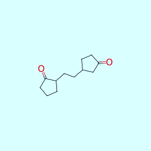 O=C1CCC(CCC2CCCC2=O)C1